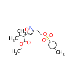 CCOC(=O)C(c1cc(CCOS(=O)(=O)c2ccc(C)cc2)no1)C(C)C